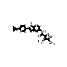 Cc1[nH]nc(C(=O)Nc2cnc3[nH]c(-c4ccc(C5CC5)nc4)cc3c2)c1C